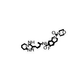 C=C(/C=C\C=C(/C)C(=N)N1CCCCC1=N)NC(=O)c1cc2c(cc1F)CCN(C(=O)N1CCOCC1)C2